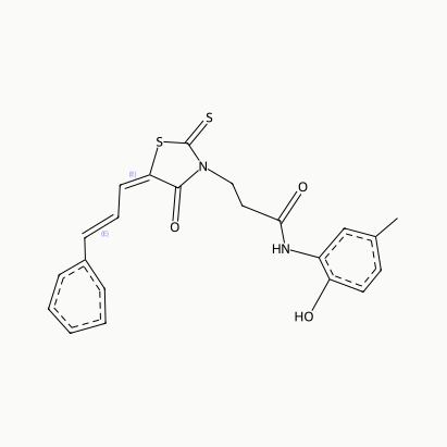 Cc1ccc(O)c(NC(=O)CCN2C(=O)/C(=C\C=C\c3ccccc3)SC2=S)c1